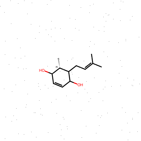 CC(C)=CCC1C(O)C=CC(O)[C@@H]1C